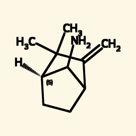 C=C1C2CC[C@H](C2N)C1(C)C